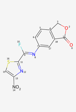 O=C1OCc2ccc(N=C(F)c3nc([N+](=O)[O-])cs3)cc21